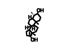 C[C@@H]1[C@@H](O)CC[C@@]2(C)[C@H]1CC[C@@H]1[C@@H]2CC[C@]2(C)[C@@H](O)CC[C@@H]12